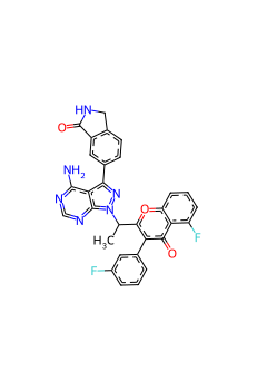 CC(c1oc2cccc(F)c2c(=O)c1-c1cccc(F)c1)n1nc(-c2ccc3c(c2)C(=O)NC3)c2c(N)ncnc21